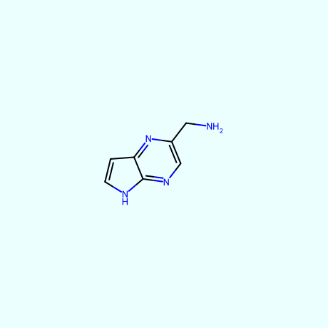 NCc1cnc2[nH]ccc2n1